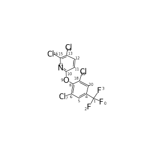 FC(F)(F)c1cc(Cl)c(Oc2ccc(Cl)c(Cl)n2)c(Cl)c1